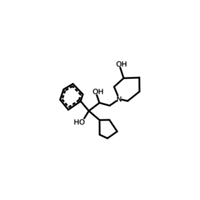 OC1CCCN(CC(O)C(O)(c2ccccc2)C2CCCC2)C1